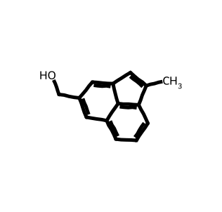 CC1=Cc2cc(CO)cc3cccc1c23